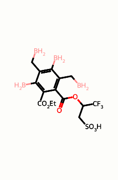 BCc1c(B)c(CB)c(C(=O)OC(CS(=O)(=O)O)C(F)(F)F)c(C(=O)OCC)c1B